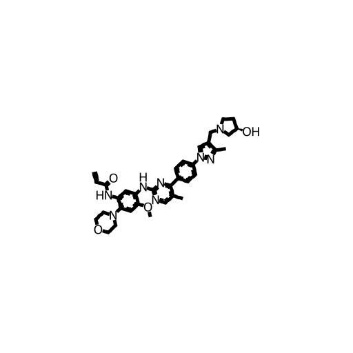 C=CC(=O)Nc1cc(Nc2ncc(C)c(-c3ccc(-n4cc(CN5CC[C@@H](O)C5)c(C)n4)cc3)n2)c(OC)cc1N1CCOCC1